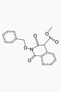 COC(=O)C1C(=O)N(OCc2ccccc2)C(=O)c2ccccc21